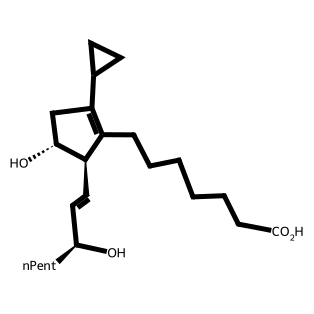 CCCCC[C@H](O)C=C[C@@H]1C(CCCCCCC(=O)O)=C(C2CC2)C[C@H]1O